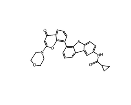 O=C(Nc1ccc2sc3c(-c4cccc5c(=O)cc(N6CCOCC6)oc45)cccc3c2c1)C1CC1